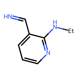 CCNc1ncccc1C=N